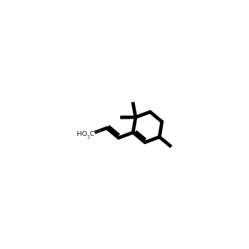 CC1C=C(C=CC(=O)O)C(C)(C)CC1